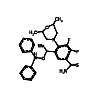 CC1CN(c2c(C(O[SiH](c3ccccc3)c3ccccc3)C(C)(C)C)cc(C(N)=S)c(F)c2F)CC(C)O1